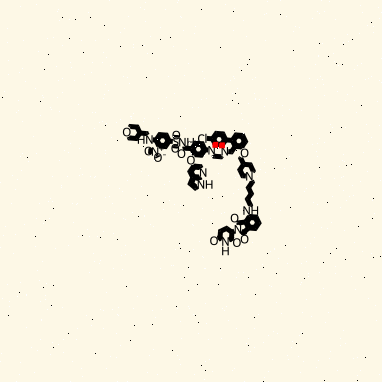 O=C1CCC(N2C(=O)c3cccc(NCCCCCN4CCC(COc5cccc(-c6ccc(Cl)cc6)c5CN5CCN(c6ccc(C(=O)NS(=O)(=O)c7ccc(NCC8CCOCC8)c([N+](=O)[O-])c7)c(Oc7cnc8[nH]ccc8c7)c6)CC5)CC4)c3C2=O)C(=O)N1